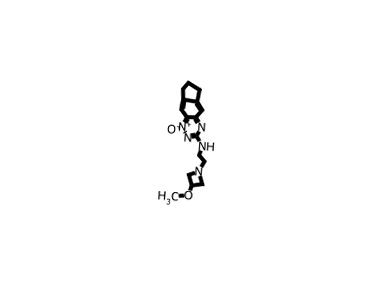 COC1CN(CCNc2nc3cc4c(cc3[n+]([O-])n2)CCC4)C1